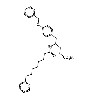 CCOC(=O)CCC(Cc1ccc(OCc2ccccc2)cc1)NC(=O)CCCCCCCc1ccccc1